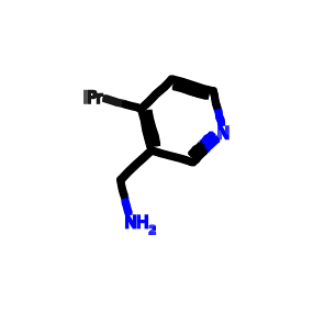 CC(C)c1ccncc1CN